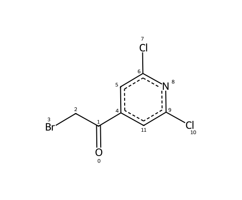 O=C(CBr)c1cc(Cl)nc(Cl)c1